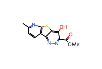 COC(=O)c1nnc2c(sc3nc(C)ccc32)c1O